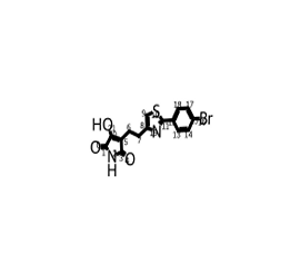 O=C1NC(=O)C(CCc2csc(-c3ccc(Br)cc3)n2)=C1O